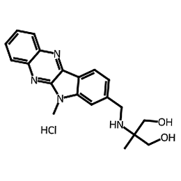 Cl.Cn1c2cc(CNC(C)(CO)CO)ccc2c2nc3ccccc3nc21